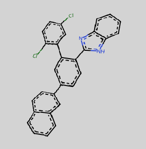 Clc1ccc(Cl)c(-c2cc(-c3ccc4ccccc4c3)ccc2-c2nc3ccccc3[nH]2)c1